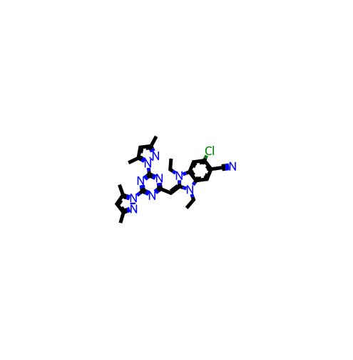 CCN1/C(=C\c2nc(-n3nc(C)cc3C)nc(-n3nc(C)cc3C)n2)N(CC)c2cc(C#N)c(Cl)cc21